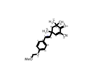 COCOc1ccc(/C=C/C2(C)C=C(C#N)C(=O)C(C)(C)C2)cc1